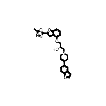 Cc1nnc(-c2cc3c(OC[C@@H](O)CN4CC=C(c5ccc6occc6c5)CC4)cccc3o2)o1